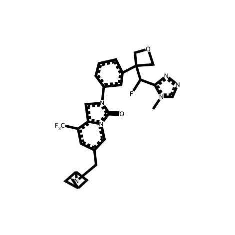 Cn1cnnc1C(F)C1(c2cccc(-n3cc4c(C(F)(F)F)cc(CN5CC6CC5C6)cn4c3=O)c2)COC1